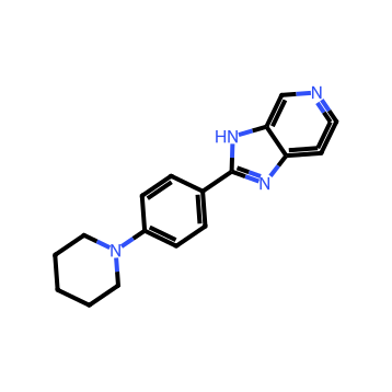 C1=C=c2nc(-c3ccc(N4CCCCC4)cc3)[nH]c2=CN=1